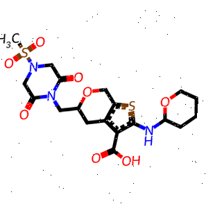 CS(=O)(=O)N1CC(=O)N(CC2Cc3c(sc(NC4CCCCO4)c3C(=O)O)CO2)C(=O)C1